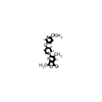 COc1ccc(OC2CCN(c3nc4c(cc3C)C(=O)O[C@@H]4C)CC2)cn1